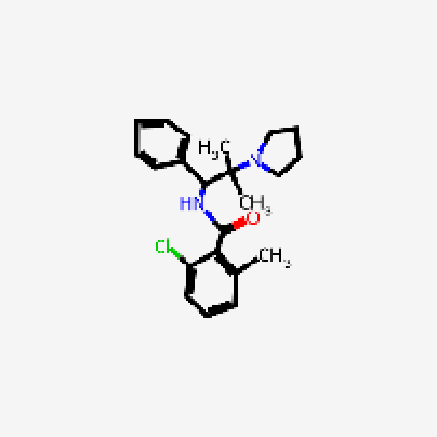 Cc1cccc(Cl)c1C(=O)NC(c1ccccc1)C(C)(C)N1CCCC1